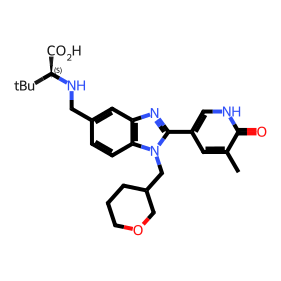 Cc1cc(-c2nc3cc(CN[C@H](C(=O)O)C(C)(C)C)ccc3n2CC2CCCOC2)c[nH]c1=O